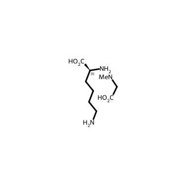 CNCC(=O)O.NCCCC[C@H](N)C(=O)O